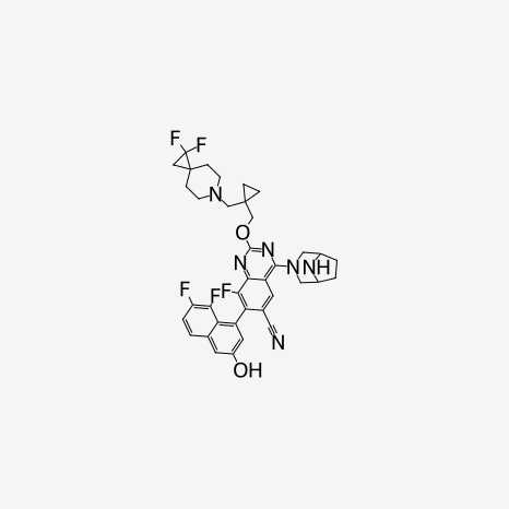 N#Cc1cc2c(N3CC4CCC(C3)N4)nc(OCC3(CN4CCC5(CC4)CC5(F)F)CC3)nc2c(F)c1-c1cc(O)cc2ccc(F)c(F)c12